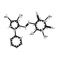 CC(C)(C)c1nn(-c2ccccn2)c(N=Nc2c(O)n(C(C)(C)C)c(=O)n(C(C)(C)C)c2=O)c1C#N